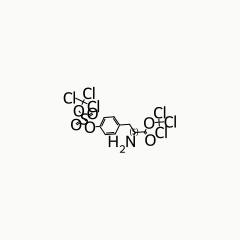 N[C@@H](Cc1ccc(OS(=O)(=O)OC(Cl)(Cl)Cl)cc1)C(=O)OC(Cl)(Cl)Cl